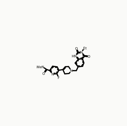 CCn1c(=O)[nH]c2cc(CN3CC=C(c4ccc(C(=O)NC)nc4F)CC3)ccc2c1=O